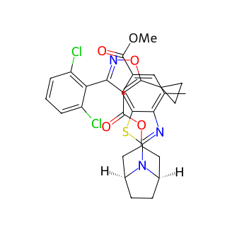 COC(=O)c1cc(C)c2nc(N3[C@@H]4CC[C@H]3CC(OC(=O)c3c(-c5c(Cl)cccc5Cl)noc3C3CC3)C4)sc2c1